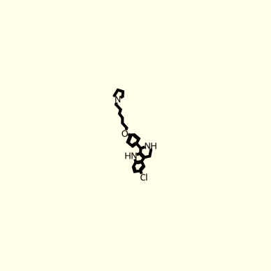 Clc1ccc2[nH]c3c(c2c1)CCNC3c1ccc(OCCCCCCN2CCCC2)cc1